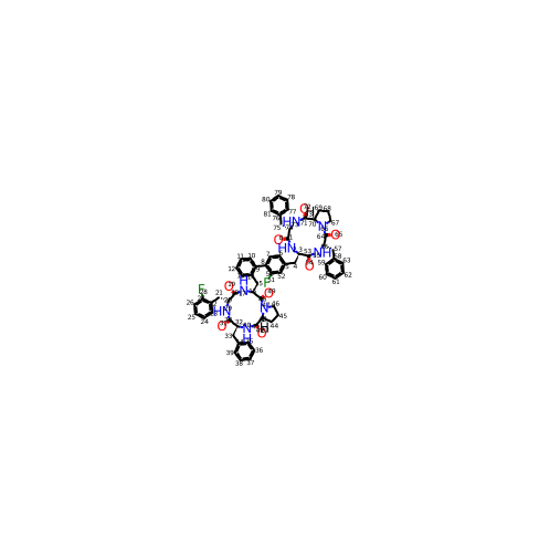 O=C1N[C@H](Cc2ccc(-c3ccccc3C[C@@H]3NC(=O)[C@@H](Cc4ccccc4F)NC(=O)[C@H](Cc4ccccc4)NC(=O)[C@H]4CCCN4C3=O)c(F)c2)C(=O)N[C@@H](Cc2ccccc2)C(=O)N2CCC[C@@H]2C(=O)N[C@H]1Cc1ccccc1